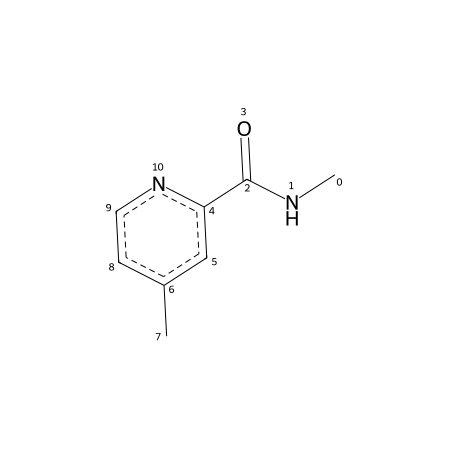 CNC(=O)c1cc(C)ccn1